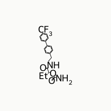 CC[C@H](OC(N)=O)C(=O)NCCc1ccc(-c2ccc(C(F)(F)F)cc2)cc1